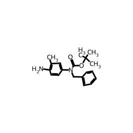 Cc1cc(N(Cc2ccccc2)C(=O)OC(C)(C)C)ccc1N